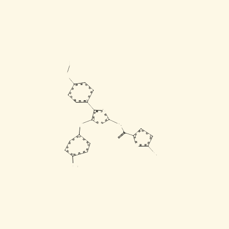 CCOc1ccc(-c2nc(NC(=O)c3ccc([N+](=O)[O-])s3)sc2Oc2ccc(C(C)(C)C)cc2)cc1